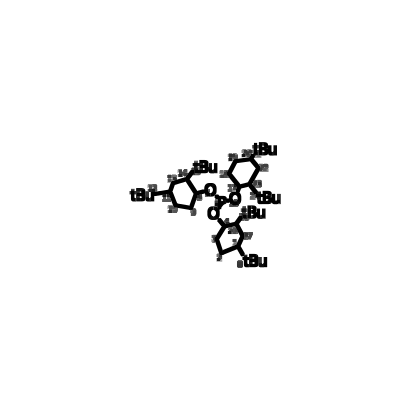 CC(C)(C)C1CCC(OP(OC2CCC(C(C)(C)C)CC2C(C)(C)C)OC2CCC(C(C)(C)C)CC2C(C)(C)C)C(C(C)(C)C)C1